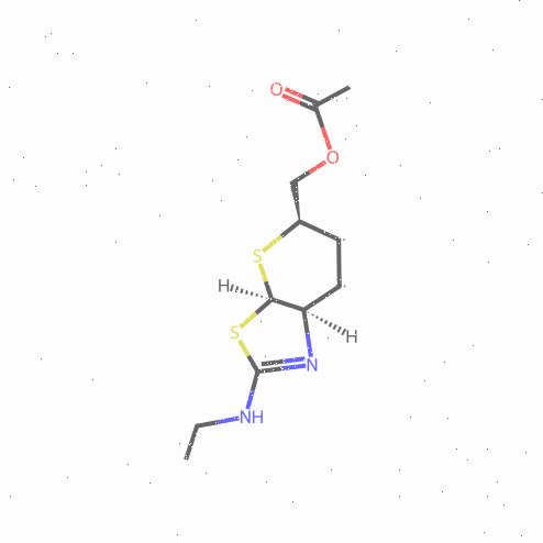 CCNC1=N[C@@H]2[CH][CH][C@H](COC(C)=O)S[C@@H]2S1